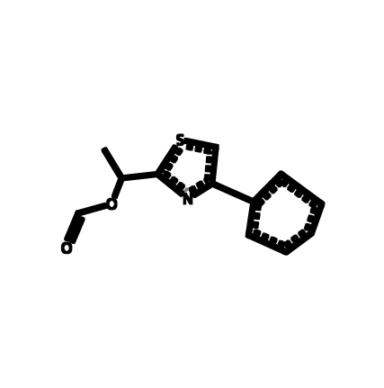 CC(OC=O)c1nc(-c2ccccc2)cs1